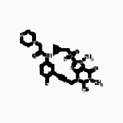 CN1C(=O)c2c(nc(S(=O)(=O)CC3CC3)n2C)N(CC#Cc2cc(NC(=O)CN3CCOCC3)ccc2Cl)C1O